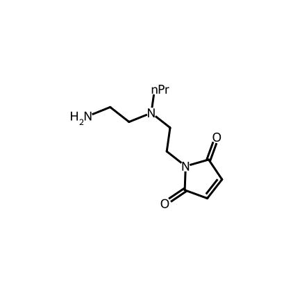 CCCN(CCN)CCN1C(=O)C=CC1=O